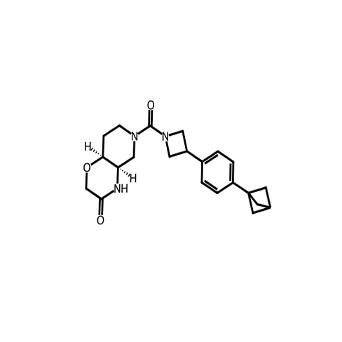 O=C1CO[C@H]2CCN(C(=O)N3CC(c4ccc(C56CC(C5)C6)cc4)C3)C[C@H]2N1